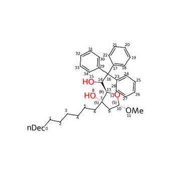 CCCCCCCCCCCCCCCC[C@]1(O)C[C@@H](OC)O[C@@H]1C(O)C(c1ccccc1)(c1ccccc1)c1ccccc1